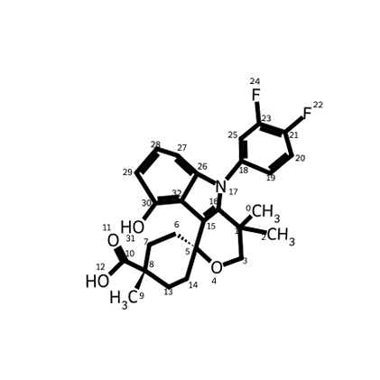 CC1(C)CO[C@]2(CC[C@@](C)(C(=O)O)CC2)c2c1n(-c1ccc(F)c(F)c1)c1cccc(O)c12